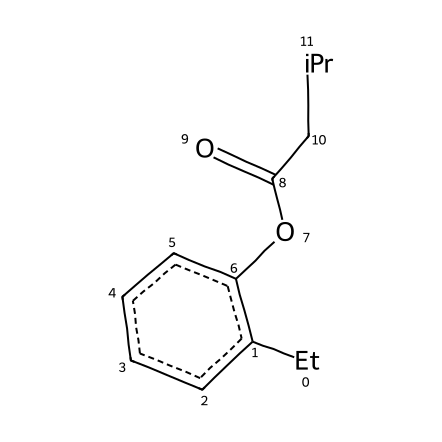 CCc1ccccc1OC(=O)CC(C)C